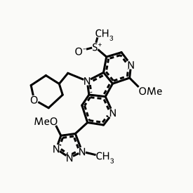 COc1nnn(C)c1-c1cnc2c3c(OC)ncc([S+](C)[O-])c3n(CC3CCOCC3)c2c1